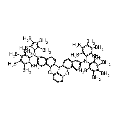 BC1=C(B)C(N(c2ccc3c4c(ccc3c2)B2c3ccc5cc(N(c6c(B)c(B)c(B)c(B)c6B)c6c(B)c(B)c(B)c(B)c6B)ccc5c3Oc3cccc(c32)O4)c2c(B)c(B)c(B)c(B)c2B)C(B)=C1B